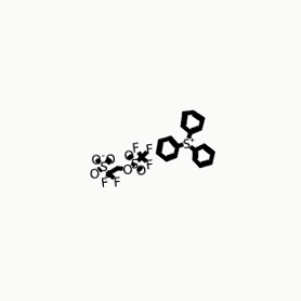 O=S(=O)([O-])C(F)(F)COS(=O)(=O)C(F)(F)F.c1ccc([S+](c2ccccc2)c2ccccc2)cc1